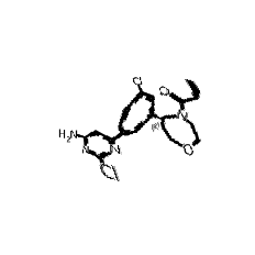 C=CC(=O)N1CCOC[C@H]1c1cc(Cl)cc(-c2cc(N)nc(Cl)n2)c1